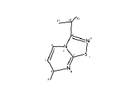 CC1C=CN2C(=N1)SN=C2C(C)C